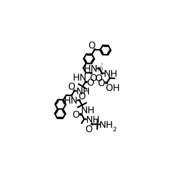 CC(NC(=O)[C@@H](C)NC(=O)C(Cc1ccc(C(=O)c2ccccc2)cc1)NC(=O)C(C)(C)NC(=O)C(Cc1ccc2ccccc2c1)NC(=O)C(C)(C)NC(=O)C(C)NC(=O)C(C)(C)N)C(=O)O